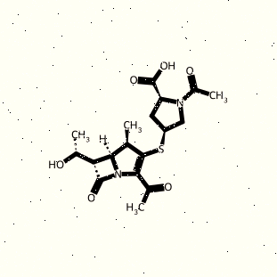 CC(=O)C1=C(S[C@H]2C[C@@H](C(=O)O)N(C(C)=O)C2)[C@H](C)[C@@H]2[C@@H]([C@@H](C)O)C(=O)N12